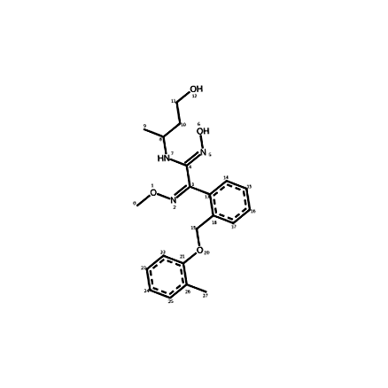 CON=C(C(=NO)NC(C)CCO)c1ccccc1COc1ccccc1C